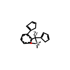 C[Si](C)(C)[C]([Zr])(C1=CC=CC1)c1ccccc1C1=CC=CC1